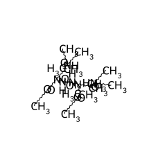 CCCCCCCCCCCOC(=O)CCCCCN(CCCCCCC(C)(C)C(C=O)NC(CCCCCCCC)CCCCCCCC)CCNC(=O)CCC(=O)NCCN(CCCCCCC(C)(C)C(=O)NC(CCCCCCCC)CCCCCCCC)CCCCC(C)(C)C(=O)OCCCCCCCCCCC